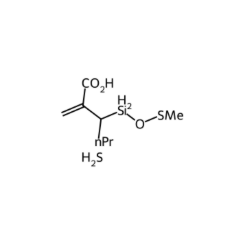 C=C(C(=O)O)C(CCC)[SiH2]OSC.S